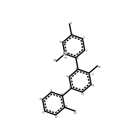 Cc1ccc(-c2cc(-c3ccccc3C)ccc2C)[n+](C)c1